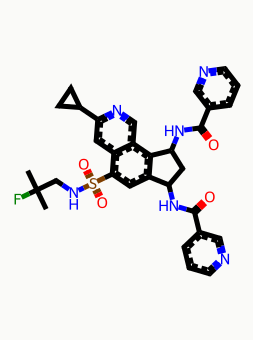 CC(C)(F)CNS(=O)(=O)c1cc2c(c3cnc(C4CC4)cc13)C(NC(=O)c1cccnc1)CC2NC(=O)c1cccnc1